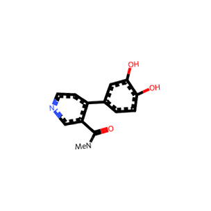 [CH2]NC(=O)c1cnccc1-c1ccc(O)c(O)c1